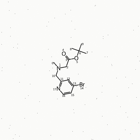 CN(CC(=O)OC(C)(C)C)Cc1cc(Br)ccn1